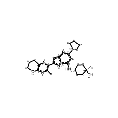 Cc1nc2c(nc1-c1cc3nc(N4CCCC4)cc(N[C@H]4CC[C@](C)(O)CC4)n3n1)CCCO2